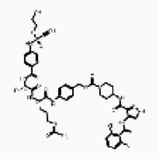 C#CP(=O)(Nc1ccc(C(=O)N[C@H](C(=O)N[C@@H](CCCNC(N)=O)C(=O)Nc2ccc(COC(=O)N3CCC(NC(=O)c4n[nH]cc4NC(=O)c4c(Cl)cccc4Cl)CC3)cc2)C(C)C)cc1)OCCO